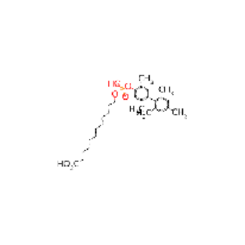 Cc1cc(C)c(-c2cc(C)c(OP(=O)(O)OCCCCCCCCCCCC(=O)O)cc2C)c(C)c1